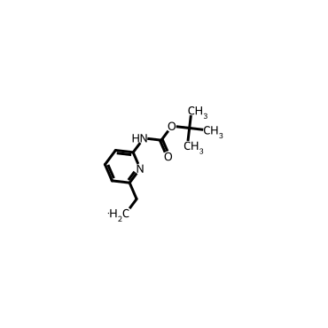 [CH2]Cc1cccc(NC(=O)OC(C)(C)C)n1